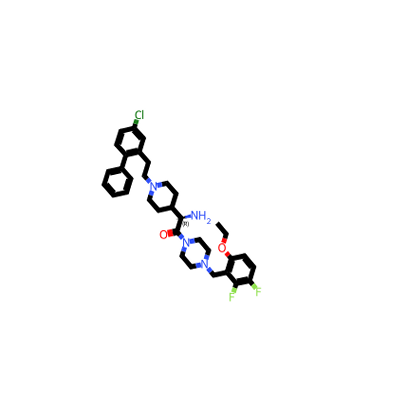 CCOc1ccc(F)c(F)c1CN1CCN(C(=O)[C@H](N)C2CCN(CCc3cc(Cl)ccc3-c3ccccc3)CC2)CC1